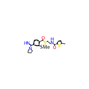 CSc1cc(C(=N)N2CCCC2)ccc1C(=O)SCCNC(=O)c1ccc(C)s1